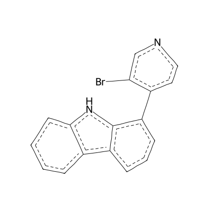 Brc1cnccc1-c1cccc2c1[nH]c1ccccc12